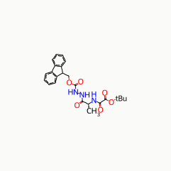 C[C@H](NC(=O)C(=O)OC(C)(C)C)C(=O)NNC(=O)OCC1c2ccccc2-c2ccccc21